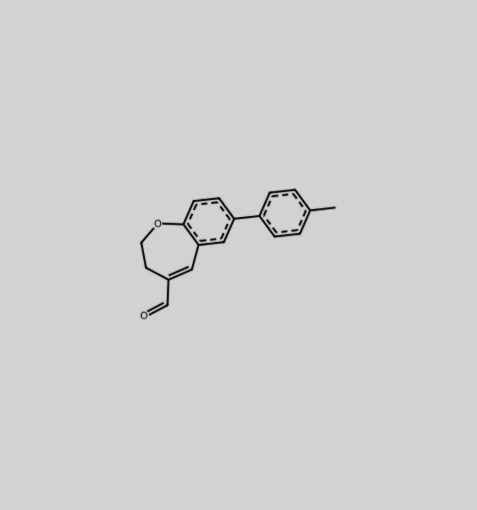 Cc1ccc(-c2ccc3c(c2)C=C(C=O)CCO3)cc1